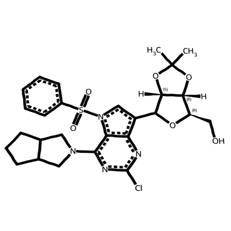 CC1(C)O[C@@H]2[C@@H](CO)OC(c3cn(S(=O)(=O)c4ccccc4)c4c(N5CC6CCCC6C5)nc(Cl)nc34)[C@@H]2O1